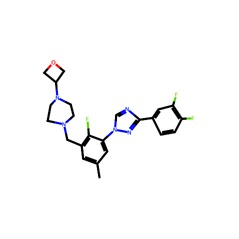 Cc1cc(CN2CCN(C3COC3)CC2)c(F)c(-n2cnc(-c3ccc(F)c(F)c3)n2)c1